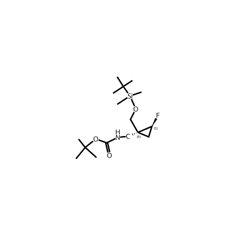 CC(C)(C)OC(=O)NC[C@@]1(CO[Si](C)(C)C(C)(C)C)C[C@@H]1F